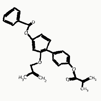 C=C(C)COc1cc(OC(=O)c2ccccc2)ccc1-c1ccc(OC(=O)C(=C)C)cc1